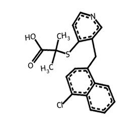 CC(C)(Sc1ccncc1Cc1ccc(Cl)c2ccccc12)C(=O)O